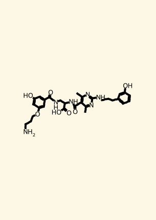 Cc1nc(NCCCc2cccc(O)c2)nc(C)c1C(=O)NC(CNC(=O)c1cc(O)cc(OCCCN)c1)C(=O)O